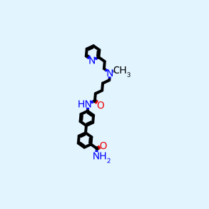 CN(CCCCC(=O)Nc1ccc(-c2cccc(C(N)=O)c2)cc1)CCc1ccccn1